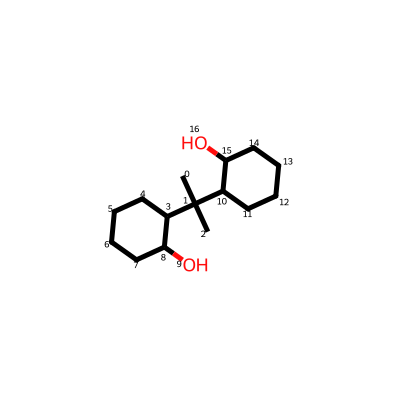 CC(C)(C1CCCCC1O)C1CCCCC1O